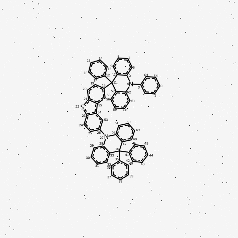 c1ccc(N2c3ccccc3C(c3ccccc3)(c3ccc4sc5ccc(N6c7ccccc7C(c7ccccc7)(c7ccccc7)c7ccccc76)cc5c4c3)c3ccccc32)cc1